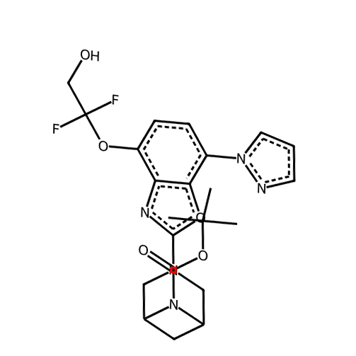 CC(C)(C)OC(=O)N1C2CC1CN(c1nc3c(OC(F)(F)CO)ccc(-n4cccn4)c3o1)C2